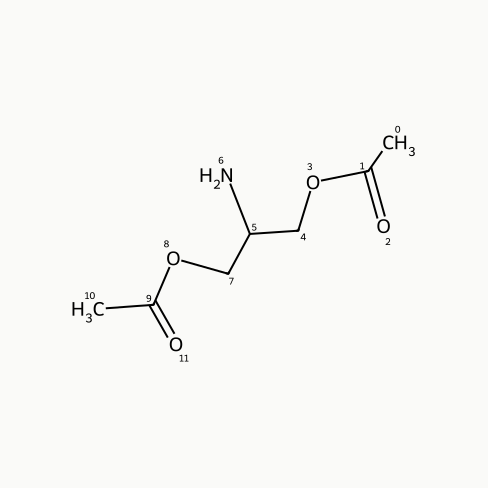 CC(=O)OCC(N)COC(C)=O